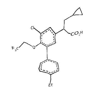 CCc1ccc(-c2cc(C(CC3CC3)C(=O)O)cc(Cl)c2OCC(F)(F)F)cc1